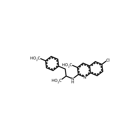 O=C(O)c1ccc(CC(Nc2nc3ccc(Cl)cc3cc2C(=O)O)C(=O)O)cc1